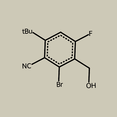 CC(C)(C)c1cc(F)c(CO)c(Br)c1C#N